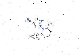 CC1CCCC(C)N1[n+]1cc([NH-])on1.Cl